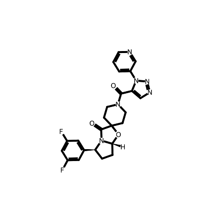 O=C(c1cnnn1-c1cccnc1)N1CCC2(CC1)O[C@@H]1CC[C@@H](c3cc(F)cc(F)c3)N1C2=O